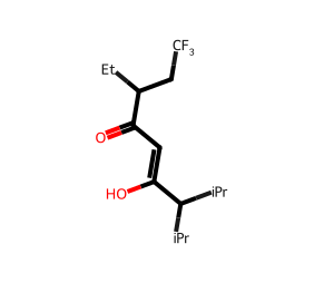 CCC(CC(F)(F)F)C(=O)/C=C(\O)C(C(C)C)C(C)C